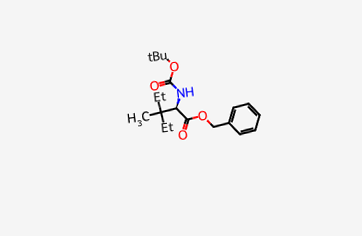 CCC(C)(CC)[C@@H](NC(=O)OC(C)(C)C)C(=O)OCc1ccccc1